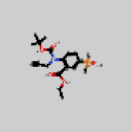 C#CCN(C(=O)OC(C)(C)C)c1ccc(P(C)(C)=O)cc1C(=O)OCC